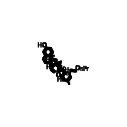 CCCOCCN1C[C@@H](C)C[C@H]2O[C@]3(CC[C@H]4[C@@H]5CC=C6C[C@@H](O)CC[C@]6(C)[C@H]5CC45CC53C)[C@H](C)[C@@H]21